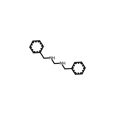 c1ccc(CNCNCc2ccccc2)cc1